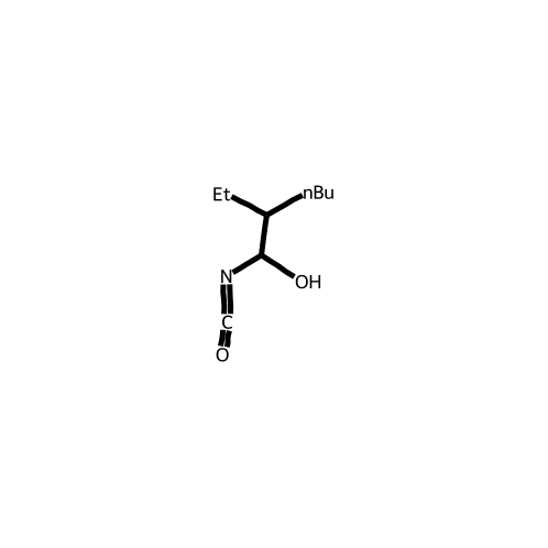 CCCCC(CC)C(O)N=C=O